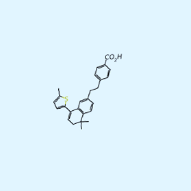 Cc1ccc(C2=CCC(C)(C)c3ccc(CCc4ccc(C(=O)O)cc4)cc32)s1